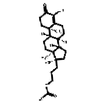 CCC(=O)OCCC[C@]1(O)CC[C@H]2[C@@H]3CCC4=C(O)C(=O)CC[C@]4(C)[C@H]3CC[C@@]21C